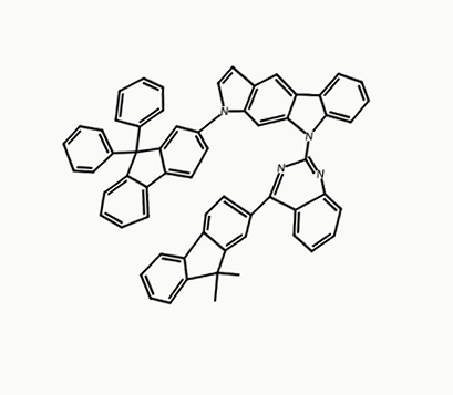 CC1(C)c2ccccc2-c2ccc(-c3nc(-n4c5ccccc5c5cc6ccn(-c7ccc8c(c7)C(c7ccccc7)(c7ccccc7)c7ccccc7-8)c6cc54)nc4ccccc34)cc21